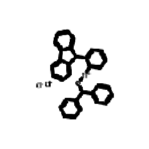 [Cl-].[Cl-].c1ccc(C([O][Ti+2][c]2ccccc2C2c3ccccc3-c3ccccc32)c2ccccc2)cc1